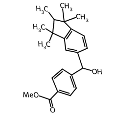 COC(=O)c1ccc(C(O)c2ccc3c(c2)C(C)(C)C(C)C3(C)C)cc1